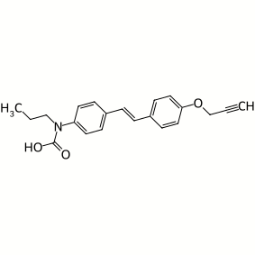 C#CCOc1ccc(C=Cc2ccc(N(CCC)C(=O)O)cc2)cc1